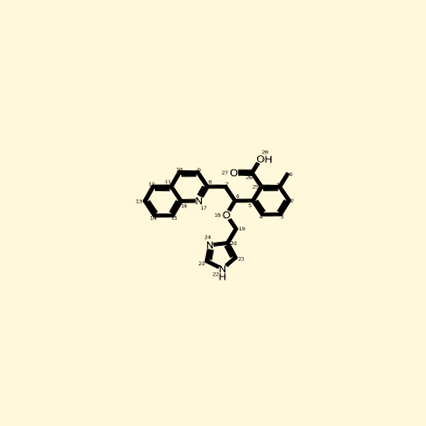 Cc1cccc(C(Cc2ccc3ccccc3n2)OCc2c[nH]cn2)c1C(=O)O